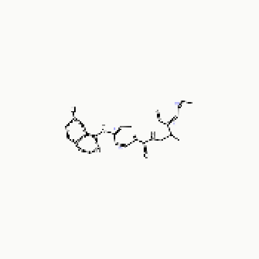 C=C/C(=C\C=C/C)C(C)CNC(=O)C(=C)/C=C\C(=C/C)Nc1nccc2ccc(Cl)cc12